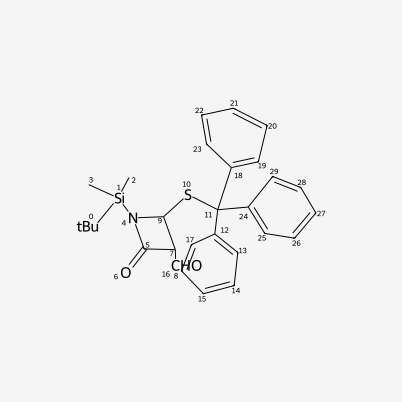 CC(C)(C)[Si](C)(C)N1C(=O)C(C=O)C1SC(c1ccccc1)(c1ccccc1)c1ccccc1